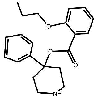 CCCOc1ccccc1C(=O)OC1(c2ccccc2)CCNCC1